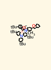 Cc1cc(-c2cc3ccccc3o2)cc(C)c1N1c2cc(C(C)(C)C)cc3c2B(c2cc(C(C)(C)C)ccc2N3c2ccc(C(C)(C)C)cc2)c2c1oc1ccc(C(C)(C)C)cc21